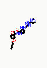 CCCCCOc1ccc2c(c1)[C@@H](NC(=O)c1cccc(NCc3nnc(-c4ccncn4)n3C)c1)CO2